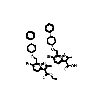 CCOC(=O)c1c(C)nn2c(CO[C@H]3CC[C@@H](c4ccccc4)CC3)c(Br)ccc12.Cc1nn2c(CO[C@H]3CC[C@@H](c4ccccc4)CC3)c(Br)ccc2c1C(=O)O